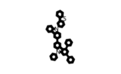 c1ccc(-c2cc(-c3ccccc3)c3c4cc(-c5ccc6c(c5)c5ccccc5n6-c5ccc6sc7ccccc7c6c5)ccc4n(-c4ccccc4)c3c2)cc1